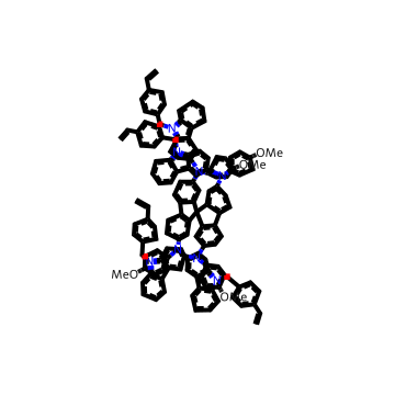 C=Cc1ccc(Cn2c3ccccc3c3cc(N(c4ccc(OC)cc4)c4ccc5c(c4)C4(c6cc(N(c7ccc(OC)cc7)c7ccc8c(c7)c7ccccc7n8Cc7ccc(C=C)cc7)ccc6-5)c5cc(N(c6ccc(OC)cc6)c6ccc7c(c6)c6ccccc6n7Cc6ccc(C=C)cc6)ccc5-c5ccc(N(c6ccc(OC)cc6)c6ccc7c(c6)c6ccccc6n7Cc6ccc(C=C)cc6)cc54)ccc32)cc1